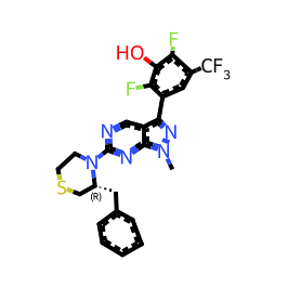 Cn1nc(-c2cc(C(F)(F)F)c(F)c(O)c2F)c2cnc(N3CCSC[C@H]3Cc3ccccc3)nc21